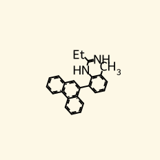 CCC(=N)Nc1c(C)cccc1-c1cc2ccccc2c2ccccc12